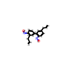 C=CCc1ccc(N=O)c(-c2ccc(N=O)c(CC=C)c2)c1